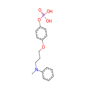 CN(CCCOc1ccc(OP(=O)(O)O)cc1)c1ccccc1